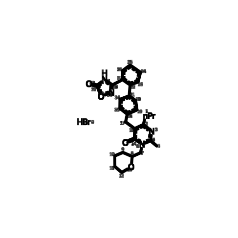 Br.CCCc1nc(C)n(CC2CCCCO2)c(=O)c1Cc1ccc(-c2ccccc2-c2noc(=O)[nH]2)cc1